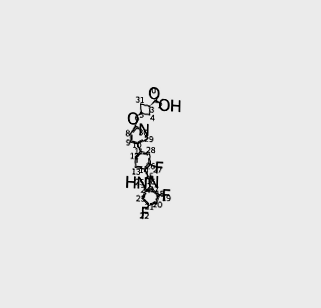 O=C(O)[C@H]1C[C@@H](Oc2ccc(-c3ccc(-c4nc5c(F)cc(F)cc5[nH]4)c(F)c3)cn2)C1